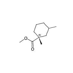 COC(=O)[C@]1(C)CCCC(C)C1